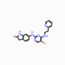 O=C1Cc2ccc(Nc3ncc(Br)c(NCCc4ccccn4)n3)cc2N1